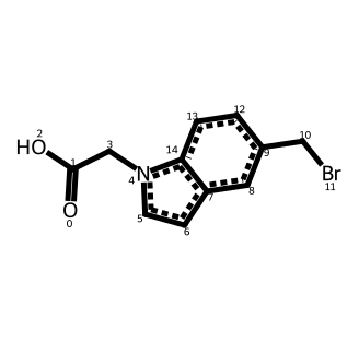 O=C(O)Cn1ccc2cc(CBr)ccc21